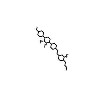 CCCCC1CCC(CCC2CCC(C3CCC(C4CCC(CC)CC4)[C@@H](F)C3F)CC2)CC1F